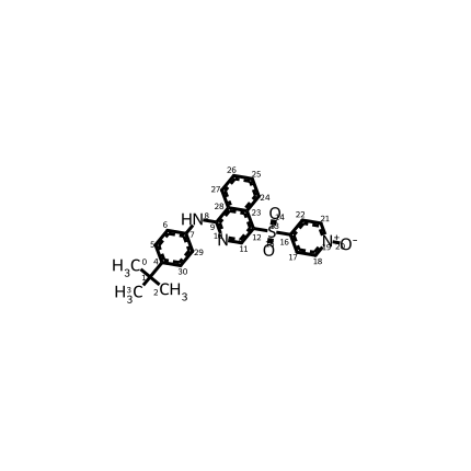 CC(C)(C)c1ccc(Nc2ncc(S(=O)(=O)c3cc[n+]([O-])cc3)c3ccccc23)cc1